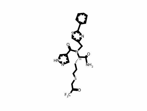 NC(=O)[C@H](CCCSCC(=O)C(F)(F)F)N(Cc1csc(-c2ccccc2)n1)C(=O)c1cn[nH]c1